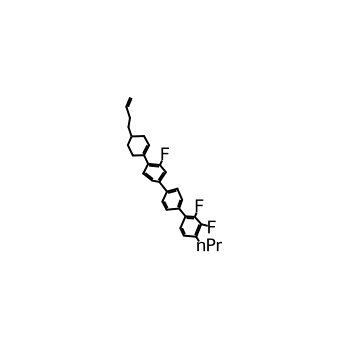 C=CCCC1CC=C(c2ccc(-c3ccc(-c4ccc(CCC)c(F)c4F)cc3)cc2F)CC1